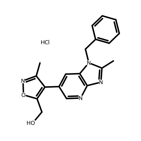 Cc1noc(CO)c1-c1cnc2nc(C)n(Cc3ccccc3)c2c1.Cl